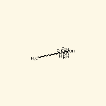 CCCCCCCCCCCC=CC(=O)N[C@@H](C=O)[C@@H](O)[C@H](O)[C@H](O)CO